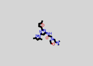 Cc1cc(C)n(-c2cc(NC(=O)CN3CCOC(N(C)C)C3)nc(-c3ccc(C)o3)n2)n1